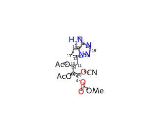 COC(=O)OC[C@@H](OC#N)[C@@H](OC(C)=O)[C@H](Cc1ccc2c(N)ncnn12)OC(C)=O